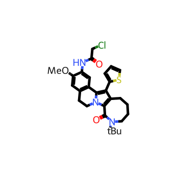 COc1cc2c(cc1NC(=O)CCl)-c1c(-c3cccs3)c3c(n1CC2)C(=O)N(C(C)(C)C)CCCC3